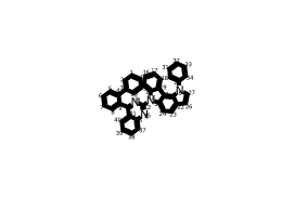 c1ccc(-c2ccccc2-c2nc(-n3c4ccccc4c4c5c(ccc43)ccn5-c3ccccc3)nc3ccccc23)cc1